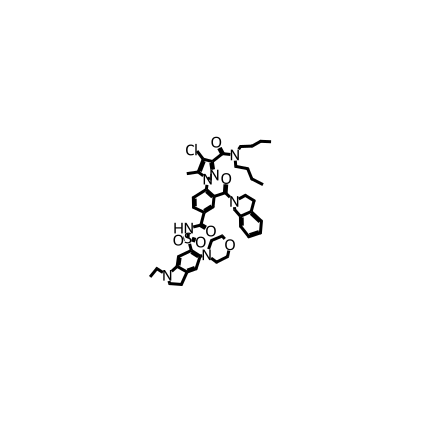 CCCCN(CCCC)C(=O)c1nn(-c2ccc(C(=O)NS(=O)(=O)c3cc4c(cc3N3CCOCC3)CCN4CC)cc2C(=O)N2CCc3ccccc3C2)c(C)c1Cl